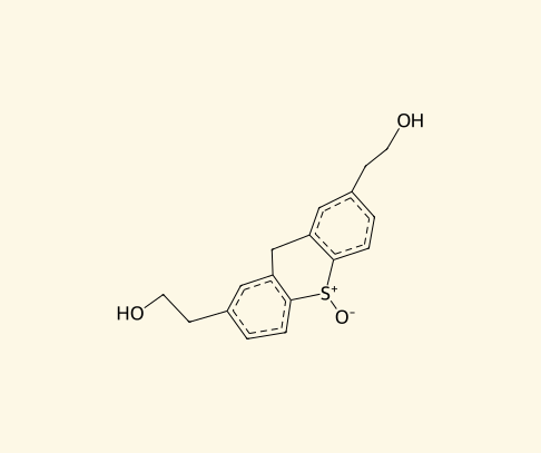 [O-][S+]1c2ccc(CCO)cc2Cc2cc(CCO)ccc21